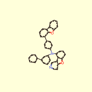 c1ccc(-c2cccc(N(c3ccc(-c4cccc5c4oc4ccccc45)cc3)c3cccc4oc5ccncc5c34)c2)cc1